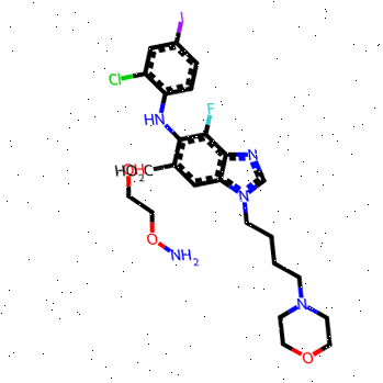 NOCCO.O=C(O)c1cc2c(ncn2CCCCN2CCOCC2)c(F)c1Nc1ccc(I)cc1Cl